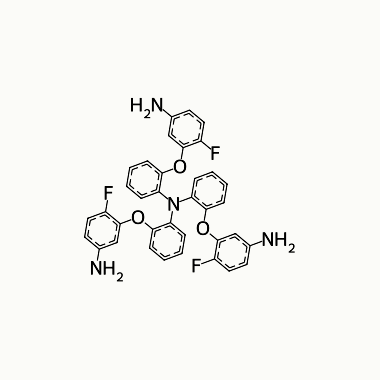 Nc1ccc(F)c(Oc2ccccc2N(c2ccccc2Oc2cc(N)ccc2F)c2ccccc2Oc2cc(N)ccc2F)c1